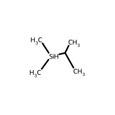 CC(C)[SiH](C)C